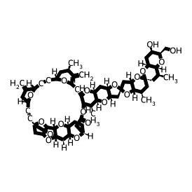 C=C1C[C@@H]2CC[C@@]34CC5O[C@H]6[C@@H](O3)[C@H]3O[C@H](CC[C@@H]3O[C@H]6C5O4)CC(=O)O[C@@H]3[C@@H](C)[C@@H]4O[C@@H]5C[C@]6(C[C@@H]7O[C@]8(C[C@H](C)[C@@H]9O[C@H](CO)[C@H](O)C[C@@H]9O8)C[C@H](C)[C@@H]7O6)O[C@@H]5C[C@@H]4O[C@H]3C[C@H]3O[C@@H](CC[C@@H]1O2)C[C@@H](C)C3=C